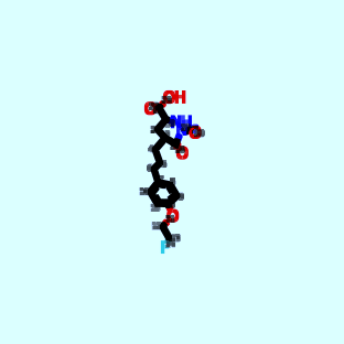 NC(CC(CCCc1ccc(OCCF)cc1)C(=O)N=O)C(=O)O